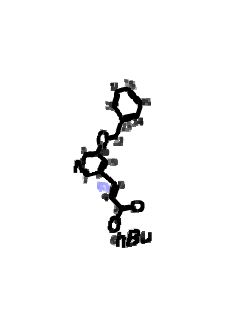 CCCCOC(=O)/C=C/c1cncc(OCc2ccccc2)c1